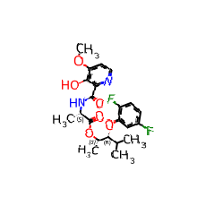 COc1ccnc(C(=O)N[C@@H](C)C(=O)O[C@@H](C)[C@H](Oc2cc(F)ccc2F)C(C)C)c1O